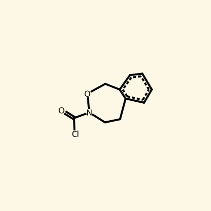 O=C(Cl)N1CCc2ccccc2CO1